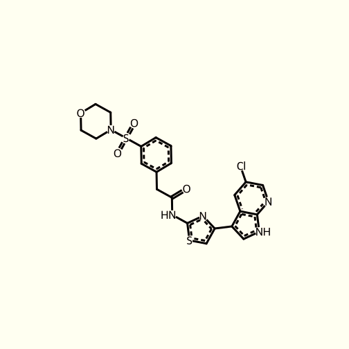 O=C(Cc1cccc(S(=O)(=O)N2CCOCC2)c1)Nc1nc(-c2c[nH]c3ncc(Cl)cc23)cs1